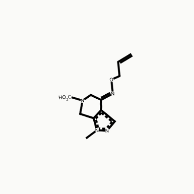 C=CCO/N=C1\CN(C(=O)O)Cc2c1cnn2C